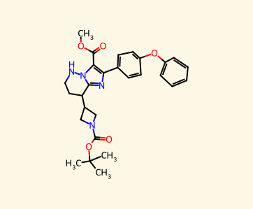 COC(=O)c1c(-c2ccc(Oc3ccccc3)cc2)nc2n1NCCC2C1CN(C(=O)OC(C)(C)C)C1